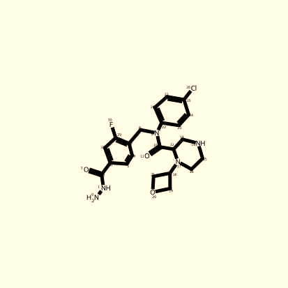 NNC(=O)c1ccc(CN(C(=O)C2CNCCN2C2COC2)c2ccc(Cl)cc2)c(F)c1